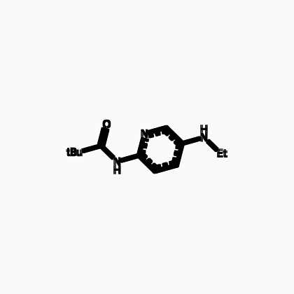 CCNc1ccc(NC(=O)C(C)(C)C)nc1